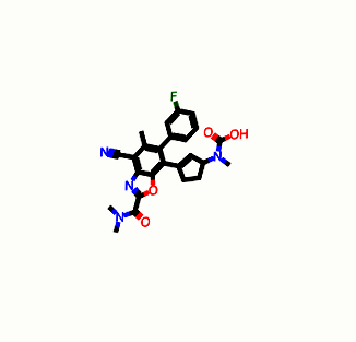 Cc1c(-c2cccc(F)c2)c(C2=CC(N(C)C(=O)O)CC2)c2oc(C(=O)N(C)C)nc2c1C#N